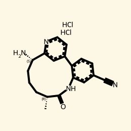 C[C@@H]1CCC[C@H](N)c2cc(ccn2)-c2ccc(C#N)cc2NC1=O.Cl.Cl